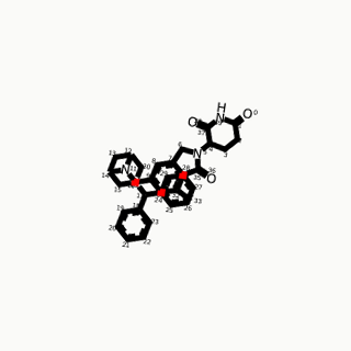 O=C1CCC(N2Cc3cc(CN4C5CC4CN(C(c4ccccc4)c4ccccc4)C5)cc(F)c3C2=O)C(=O)N1